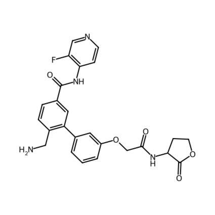 NCc1ccc(C(=O)Nc2ccncc2F)cc1-c1cccc(OCC(=O)NC2CCOC2=O)c1